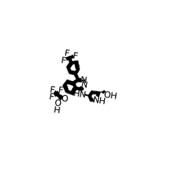 O=C(O)C(F)(F)F.OC[C@H]1C[C@H](Nc2nnc(-c3ccc(C(F)(F)F)cc3)c3ccccc23)CN1